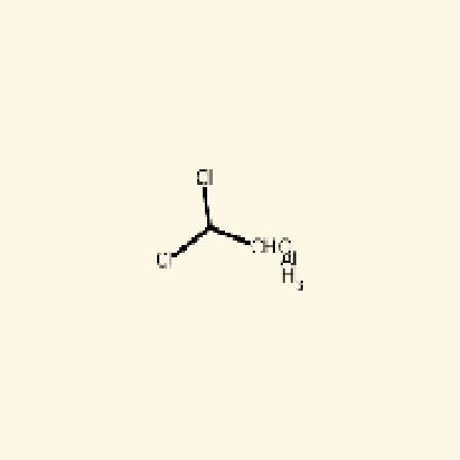 O=CC(Cl)Cl.[AlH3]